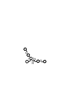 O=C(Cc1ccc(OCc2ccccc2)cc1)Nc1ncc(-c2ccc(OCc3ccccc3)cc2)nc1CC1CCCCC1